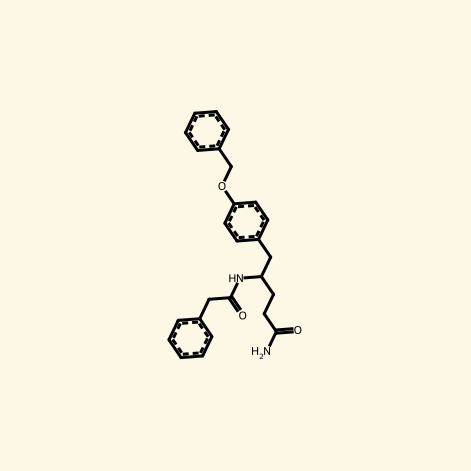 NC(=O)CCC(Cc1ccc(OCc2ccccc2)cc1)NC(=O)Cc1ccccc1